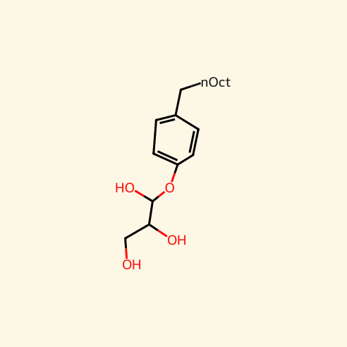 CCCCCCCCCc1ccc(OC(O)C(O)CO)cc1